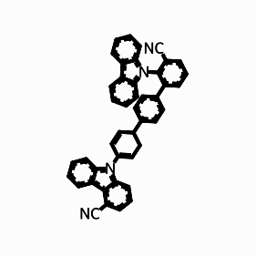 N#Cc1cccc(-c2ccc(C3C=CC(n4c5ccccc5c5c(C#N)cccc54)=CC3)cc2)c1-n1c2ccccc2c2ccccc21